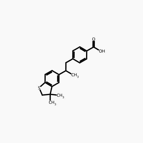 CC(Cc1ccc(C(=O)O)cc1)c1ccc2c(c1)C(C)(C)CS2